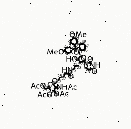 COc1ccc(C(OC[C@H]2O[C@@H](n3ccc(=O)[nH]c3=O)[C@H](CCCNC(=O)CCCCOC3OC(COC(C)=O)C(OC(C)=O)C(OC(C)=O)C3NC(C)=O)[C@@H]2O)(c2ccccc2)c2ccc(OC)cc2)cc1